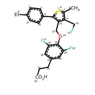 CCc1ccc(-c2sc(C)c(CF)c2COc2c(F)cc(CCC(=O)O)cc2F)cc1